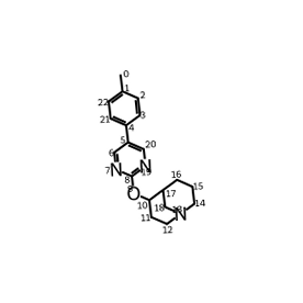 Cc1ccc(-c2cnc(OC3CCN4CCCC3C4)nc2)cc1